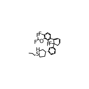 CCC[Si@H]1CC[C@H](c2cccc(C3(F)CC=CC=C3c3ccc(F)c(OC(F)F)c3F)c2)CC1